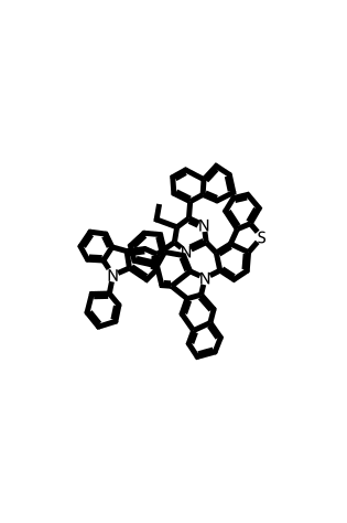 CCC1C(c2cccc3ccccc23)=NC(c2c(-n3c4cc5ccccc5cc4c4cc5ccccc5cc43)ccc3sc4ccccc4c23)=NC1c1ccc2c(c1)c1ccccc1n2-c1ccccc1